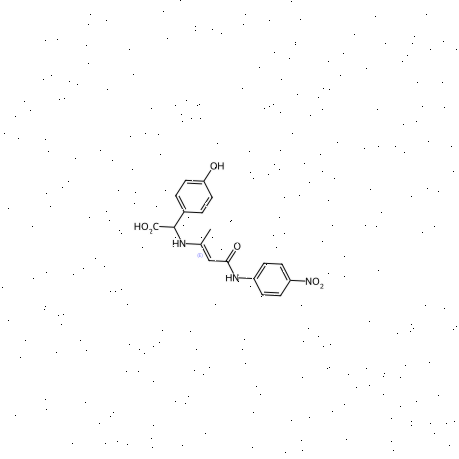 C/C(=C\C(=O)Nc1ccc([N+](=O)[O-])cc1)NC(C(=O)O)c1ccc(O)cc1